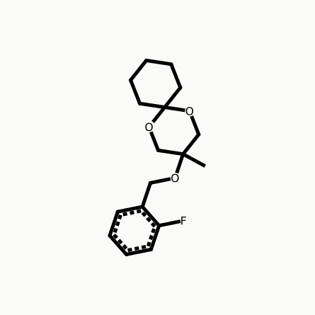 CC1(OCc2ccccc2F)COC2(CCCCC2)OC1